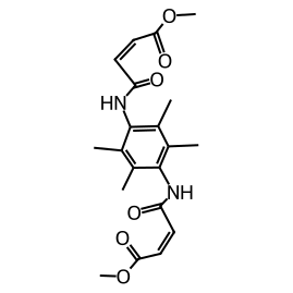 COC(=O)/C=C\C(=O)Nc1c(C)c(C)c(NC(=O)/C=C\C(=O)OC)c(C)c1C